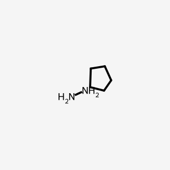 C1CCCC1.NN